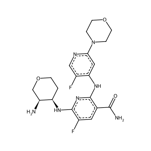 NC(=O)c1cc(F)c(N[C@@H]2CCOC[C@@H]2N)nc1Nc1cc(N2CCOCC2)ncc1F